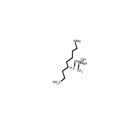 CCCCCCCC.CCCCCCCC.CNCCCCCCCC(=O)O.Cl